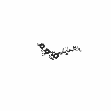 CN(C)CCCNC(=N)N/N=C/c1ccc2ncnc(Nc3ccc(Oc4cccc(F)c4)c(Cl)c3)c2c1